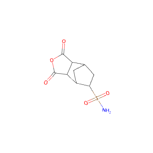 NS(=O)(=O)C1CC2CC1C1C(=O)OC(=O)C21